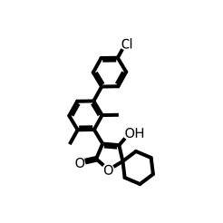 Cc1ccc(-c2ccc(Cl)cc2)c(C)c1C1=C(O)C2(CCCCC2)OC1=O